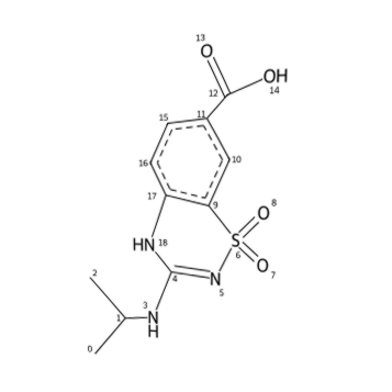 CC(C)NC1=NS(=O)(=O)c2cc(C(=O)O)ccc2N1